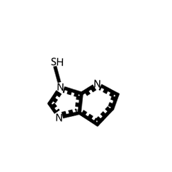 Sn1cnc2cccnc21